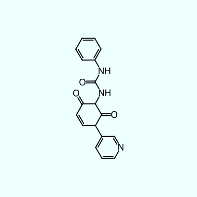 O=C(Nc1ccccc1)NC1C(=O)C=CC(c2cccnc2)C1=O